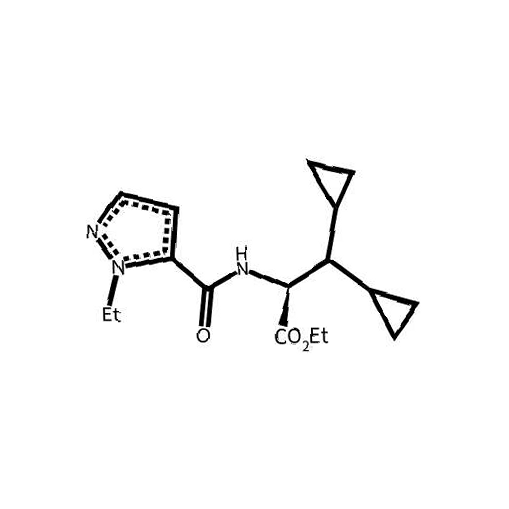 CCOC(=O)[C@@H](NC(=O)c1ccnn1CC)C(C1CC1)C1CC1